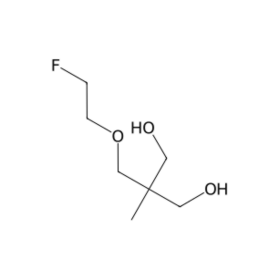 CC(CO)(CO)COCCF